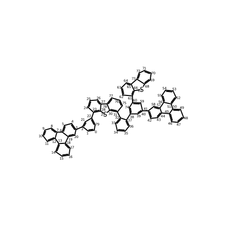 c1cc(-c2ccc3c4ccccc4c4ccccc4c3c2)cc(-c2cccc3c2sc2c(-c4ccccc4-c4cc(-c5ccc6c7ccccc7c7ccccc7c6c5)cc(-c5cccc6c5sc5ccccc56)c4)cccc23)c1